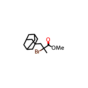 COC(=O)C(C)(Br)CC12CC3CC(CC(C3)C1)C2